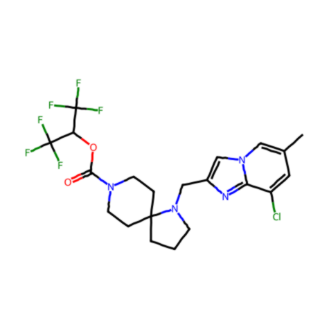 Cc1cc(Cl)c2nc(CN3CCCC34CCN(C(=O)OC(C(F)(F)F)C(F)(F)F)CC4)cn2c1